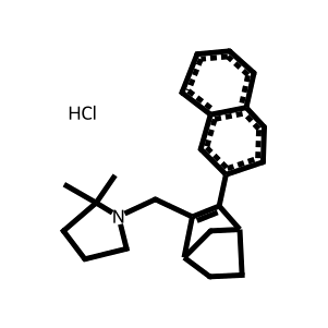 CC1(C)CCCN1CC1=C(c2ccc3ccccc3c2)C2CCC1C2.Cl